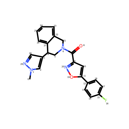 Cn1cc(C2CN(C(=O)c3cc(-c4ccc(F)cc4)on3)Cc3ccccc32)cn1